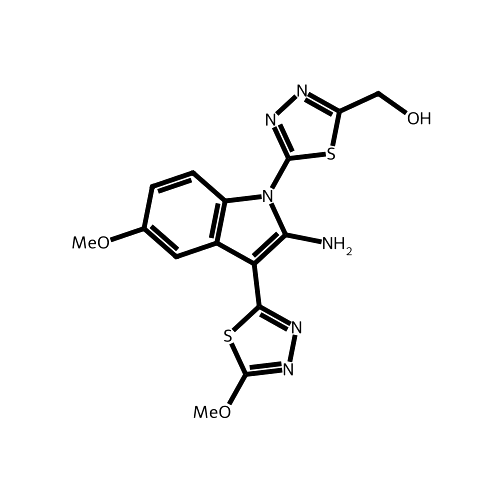 COc1ccc2c(c1)c(-c1nnc(OC)s1)c(N)n2-c1nnc(CO)s1